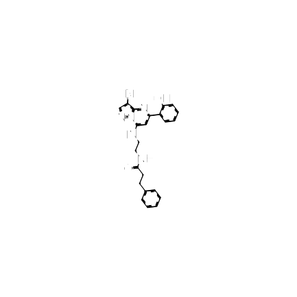 Bc1cnn2c(NCCNC(=O)CCc3ccccc3)cc(-c3ccccc3O)nc12